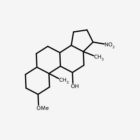 COC1CCC2CCC3C4CCC([N+](=O)[O-])C4(C)CC(O)C3C2(C)C1